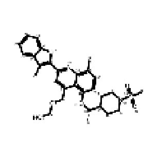 Cc1c(-c2cc(COCO)c3c(O[C@@H](C)C4CCN(S(C)(=O)=O)CC4)ccc(C)c3n2)oc2ccccc12